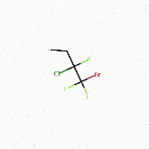 [CH2]CC(F)(Cl)C(F)(F)Br